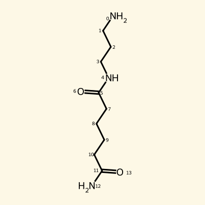 NCCCNC(=O)CCCCC(N)=O